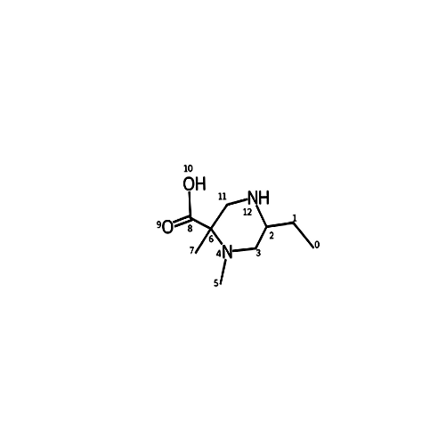 CCC1CN(C)C(C)(C(=O)O)CN1